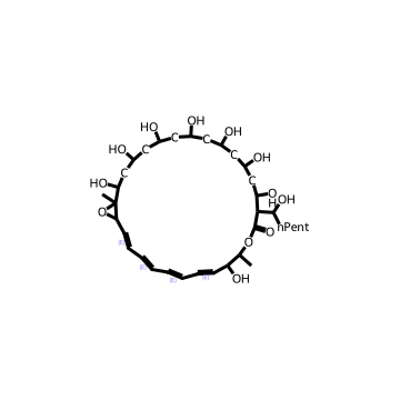 CCCCCC(O)C1C(=O)OC(C)C(O)/C=C/C=C/C=C/C=C/C2OC2(C)C(O)CC(O)CC(O)CC(O)CC(O)CC(O)CC1O